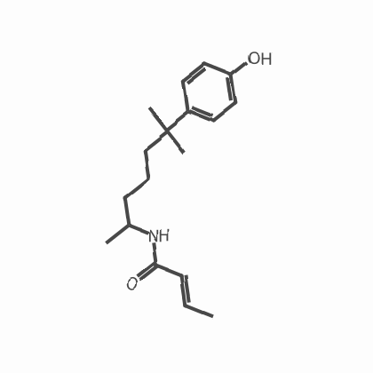 CC=CC(=O)NC(C)CCCC(C)(C)c1ccc(O)cc1